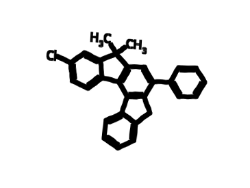 CC1(C)c2cc(Cl)ccc2-c2c1cc(-c1ccccc1)c1c2-c2ccccc2C1